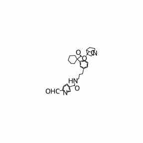 O=Cc1ccc(C(=O)NCCCc2cccc(C3(C(=O)OC4CN5CCC4CC5)CCCCC3)c2)cn1